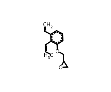 C=Cc1cccc(OCC2CO2)c1/C=C\C